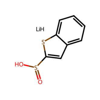 O=S(O)c1cc2ccccc2s1.[LiH]